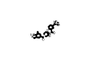 Cc1cc(C(=O)N2CCC3(CC2)NC(=O)c2cc(-c4nnn[nH]4)ccc2O3)cc2cn[nH]c12